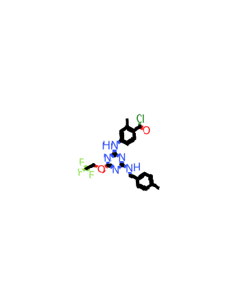 Cc1ccc(CNc2nc(Nc3ccc(C(=O)Cl)c(C)c3)nc(OCC(F)(F)F)n2)cc1